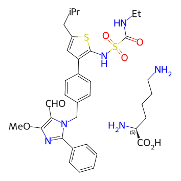 CCNC(=O)S(=O)(=O)Nc1sc(CC(C)C)cc1-c1ccc(Cn2c(-c3ccccc3)nc(OC)c2C=O)cc1.NCCCC[C@H](N)C(=O)O